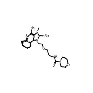 CCCCC1N(C)c2c(N)nc3ccccc3c2N1CCOCCNC(=O)N1CCOCC1